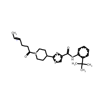 C/C=C/CCC(=O)N1CCC(c2nc(C(=O)Nc3ccccc3C(C)(C)C)cs2)CC1